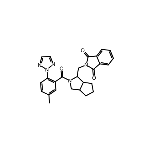 Cc1ccc(-n2nccn2)c(C(=O)N2CC3CCCC3C2CN2C(=O)c3ccccc3C2=O)c1